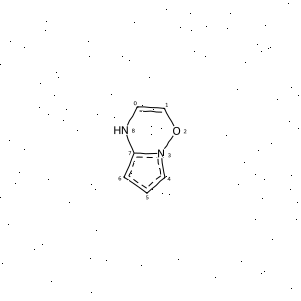 C1=COn2cccc2N1